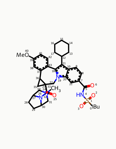 CCC(C)S(=O)(=O)NC(=O)c1ccc2c(C3CCCCC3)c3n(c2c1)CC1(C(=O)N2C4CCC2CN(C)C4)CC1c1cc(OC)ccc1-3